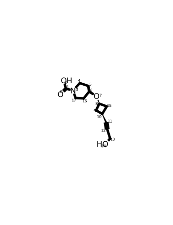 O=C(O)N1CCC(O[C@H]2C[C@H](C#CCO)C2)CC1